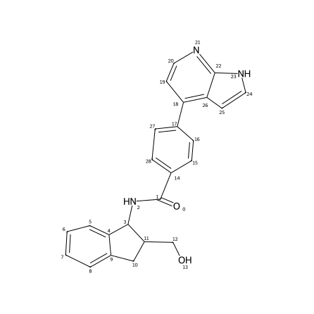 O=C(NC1c2ccccc2CC1CO)c1ccc(-c2ccnc3[nH]ccc23)cc1